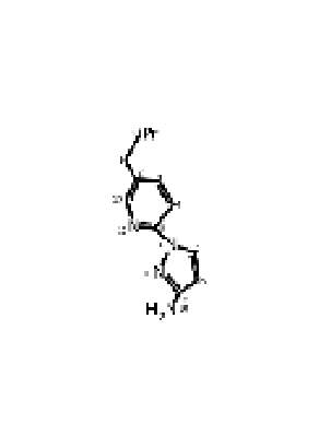 CC(C)Cc1ccc(-n2ccc(N)n2)nc1